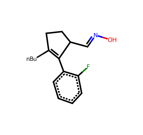 CCCCC1=C(c2ccccc2F)C(C=NO)CC1